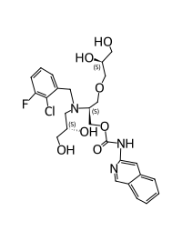 O=C(Nc1cc2ccccc2cn1)OC[C@H](COC[C@@H](O)CO)N(Cc1cccc(F)c1Cl)C[C@H](O)CO